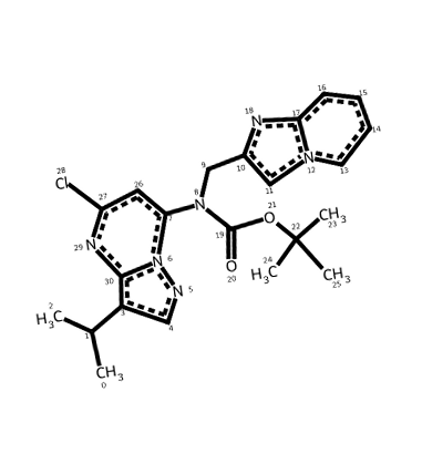 CC(C)c1cnn2c(N(Cc3cn4ccccc4n3)C(=O)OC(C)(C)C)cc(Cl)nc12